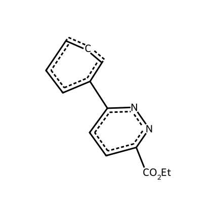 CCOC(=O)c1ccc(-c2ccccc2)nn1